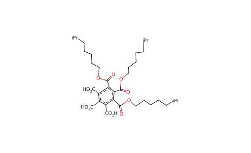 CC(C)CCCCCOC(=O)c1c(C(=O)O)c(C(=O)O)c(C(=O)O)c(C(=O)OCCCCCC(C)C)c1C(=O)OCCCCCC(C)C